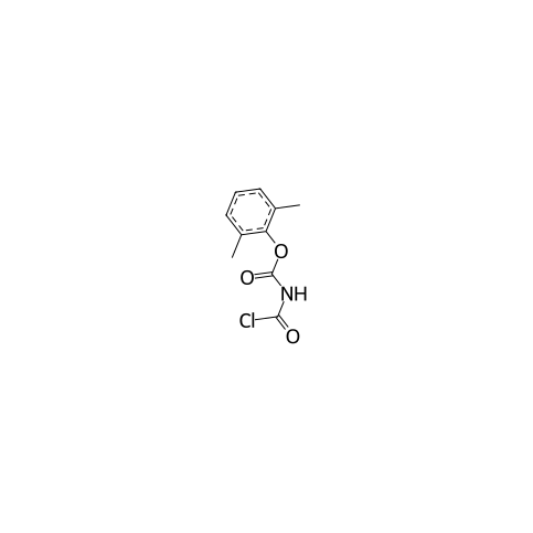 Cc1cccc(C)c1OC(=O)NC(=O)Cl